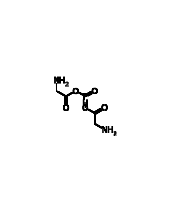 NCC(=O)O[PH](=O)OC(=O)CN